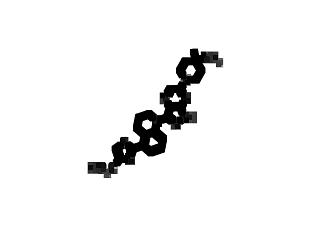 CC1(N)CCN(c2cnc3c(N4CCCc5c(-c6nc(C(=O)O)cs6)cccc54)n[nH]c3n2)CC1